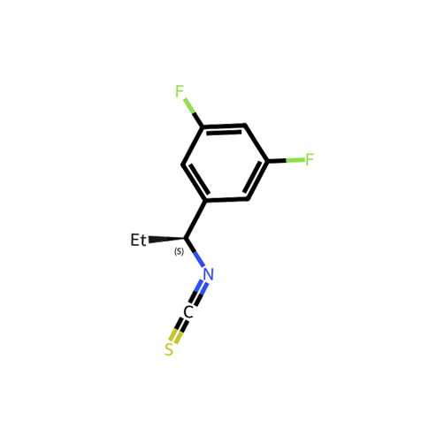 CC[C@H](N=C=S)c1cc(F)cc(F)c1